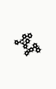 c1ccc(-c2cccc(-c3nc(-c4ccccc4)nc(-c4ccc(-n5c6ccccc6c6ccc(-c7cccc8oc9ccccc9c78)cc65)cc4-c4ccccc4)n3)c2)cc1